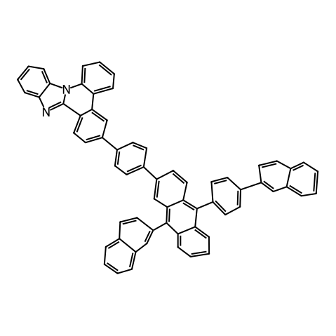 c1ccc2cc(-c3ccc(-c4c5ccccc5c(-c5ccc6ccccc6c5)c5cc(-c6ccc(-c7ccc8c(c7)c7ccccc7n7c9ccccc9nc87)cc6)ccc45)cc3)ccc2c1